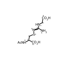 CC(=O)NC(CS/N=C(\N)NCC(=O)O)C(=O)O